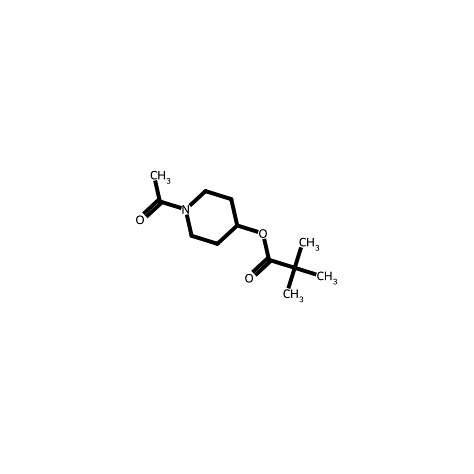 CC(=O)N1CCC(OC(=O)C(C)(C)C)CC1